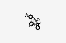 Cc1c(C(=O)NCc2ccc(N(C)C)cc2)n(-c2cccnc2)c2ccccc12